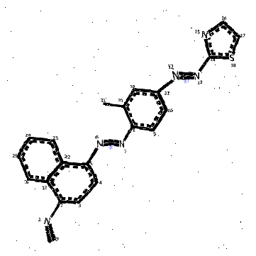 C=Nc1ccc(/N=N/c2ccc(/N=N/c3nccs3)cc2C)c2ccccc12